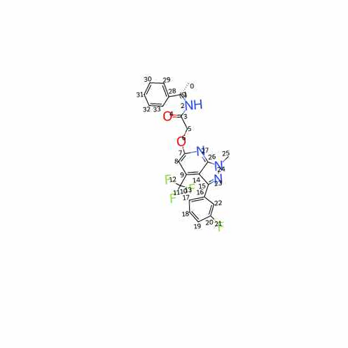 C[C@H](NC(=O)COc1cc(C(F)(F)F)c2c(-c3cccc(F)c3)nn(C)c2n1)c1ccccc1